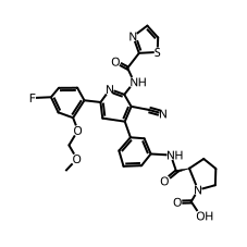 COCOc1cc(F)ccc1-c1cc(-c2cccc(NC(=O)[C@H]3CCCN3C(=O)O)c2)c(C#N)c(NC(=O)c2nccs2)n1